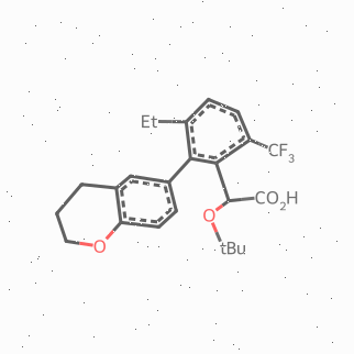 CCc1ccc(C(F)(F)F)c(C(OC(C)(C)C)C(=O)O)c1-c1ccc2c(c1)CCCO2